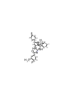 Cc1cc(C(=O)/N=C(/NCc2ccccc2C)Nc2cc(-c3ccc(F)cc3)n[nH]2)ccc1F